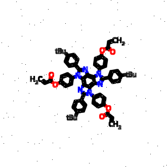 C=CC(=O)Oc1ccc(-n2c(-c3ccc(C(C)(C)C)cc3)nc3c2c2nc(-c4ccc(C(C)(C)C)cc4)n(-c4ccc(OC(=O)C=C)cc4)c2c2nc(-c4ccc(C(C)(C)C)cc4)n(-c4ccc(OC(=O)C=C)cc4)c32)cc1